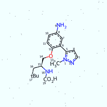 Cn1nccc1-c1cc(N)ccc1OC[C@H](CC(C)(C)C)NC(=O)O